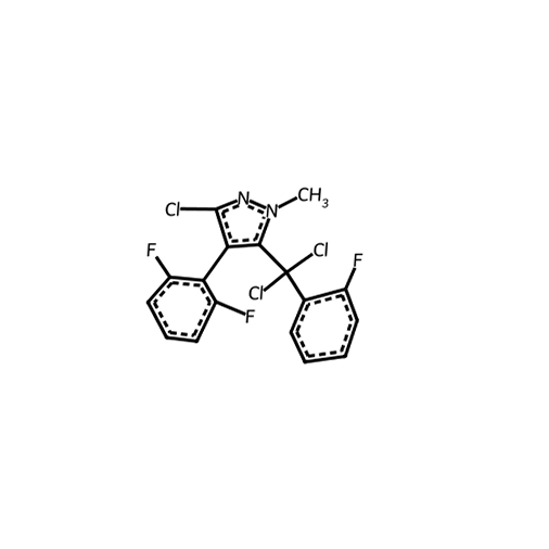 Cn1nc(Cl)c(-c2c(F)cccc2F)c1C(Cl)(Cl)c1ccccc1F